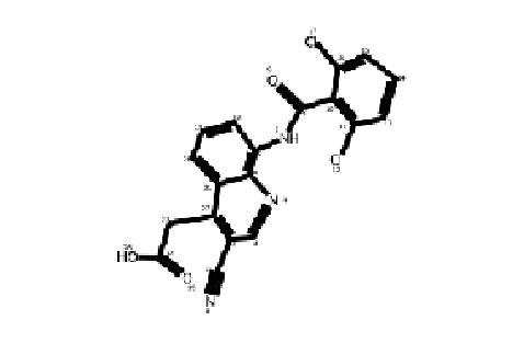 N#Cc1cnc2c(NC(=O)c3c(Cl)cccc3Cl)cccc2c1CC(=O)O